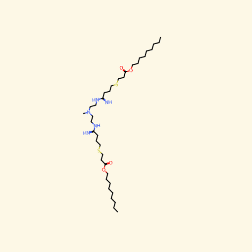 CCCCCCCCCOC(=O)CCSCCCC(=N)NCCN(C)CCNC(=N)CCCSCCC(=O)OCCCCCCCCC